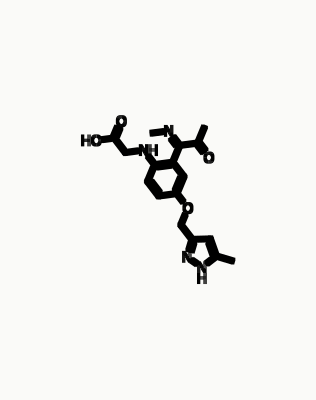 C/N=C(/C(C)=O)c1cc(OCc2cc(C)[nH]n2)ccc1NCC(=O)O